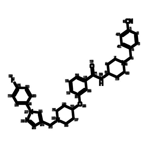 N#Cc1ccc(CN2CCC(NC(=O)c3cccc(OC4CCN(Cc5cnn(-c6ccc(F)cc6)c5)CC4)c3)CC2)cc1